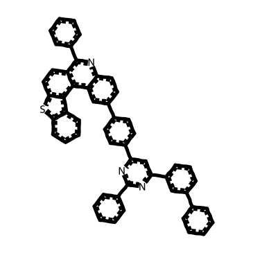 c1ccc(-c2cccc(-c3cc(-c4ccc(-c5ccc6nc(-c7ccccc7)c7ccc8sc9ccccc9c8c7c6c5)cc4)nc(-c4ccccc4)n3)c2)cc1